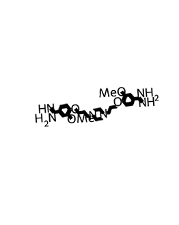 COc1cc(C(=N)N)ccc1OCCCN1CCN(CCCOc2ccc(C(=N)N)cc2OC)CC1